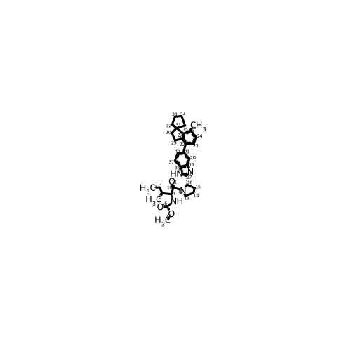 CCC(C)[C@H](NC(=O)OC)C(=O)N1CCC[C@H]1c1nc2cc(-c3ccc(C)c4c3CCC43CCCC3)ccc2[nH]1